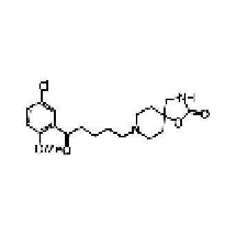 COc1ccc(Cl)cc1C(=O)CCCCN1CCC2(CC1)CNC(=O)O2